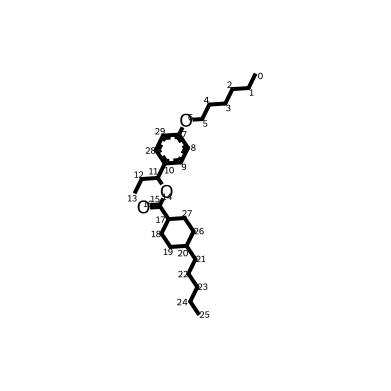 CCCCCCOc1ccc(C(CC)OC(=O)C2CCC(CCCCC)CC2)cc1